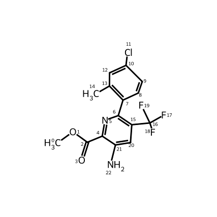 COC(=O)c1nc(-c2ccc(Cl)cc2C)c(C(F)(F)F)cc1N